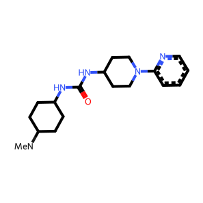 CNC1CCC(NC(=O)NC2CCN(c3ccccn3)CC2)CC1